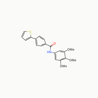 COc1cc(NC(=O)c2ccc(-c3cccs3)cc2)cc(OC)c1OC